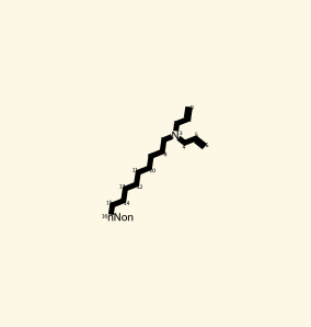 C=CCN(CC=C)CCCCCCCCCCCCCCCCCC